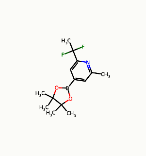 Cc1cc(B2OC(C)(C)C(C)(C)O2)cc(C(C)(F)F)n1